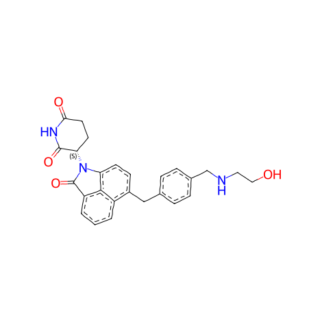 O=C1CC[C@H](N2C(=O)c3cccc4c(Cc5ccc(CNCCO)cc5)ccc2c34)C(=O)N1